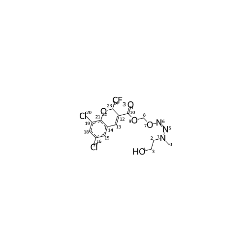 CN(CCO)/N=N\OCOC(=O)C1=Cc2cc(Cl)cc(Cl)c2OC1C(F)(F)F